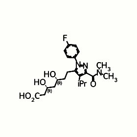 CC(C)c1c(C(=O)N(C)C)nn(-c2ccc(F)cc2)c1CC[C@@H](O)C[C@@H](O)CC(=O)O